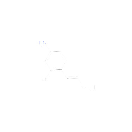 CCc1cc(N)ccc1/C=C/C(=O)O